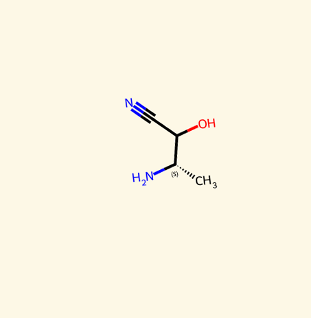 C[C@H](N)C(O)C#N